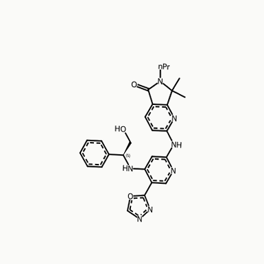 CCCN1C(=O)c2ccc(Nc3cc(N[C@H](CO)c4ccccc4)c(-c4nnco4)cn3)nc2C1(C)C